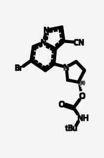 CC(C)(C)NC(=O)O[C@H]1CCN(c2cc(Br)cn3ncc(C#N)c23)C1